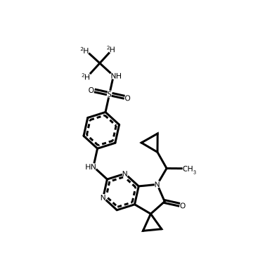 [2H]C([2H])([2H])NS(=O)(=O)c1ccc(Nc2ncc3c(n2)N(C(C)C2CC2)C(=O)C32CC2)cc1